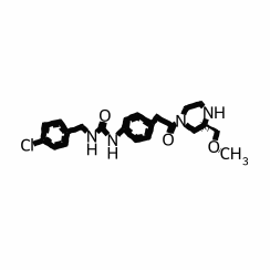 COC[C@H]1CN(C(=O)Cc2ccc(NC(=O)NCc3ccc(Cl)cc3)cc2)CCN1